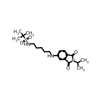 CC(C)N1C(=O)c2ccc(NCCCCCNS(=O)(=O)C(C)(C)C)cc2C1=O